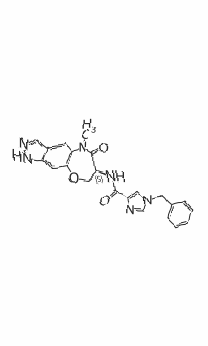 CN1C(=O)[C@@H](NC(=O)c2cn(Cc3ccccc3)cn2)COc2cc3[nH]ncc3cc21